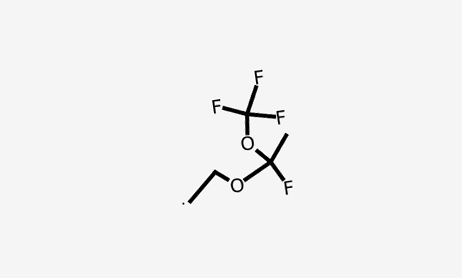 [CH2]COC(C)(F)OC(F)(F)F